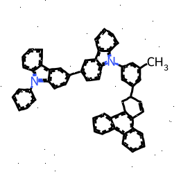 Cc1cc(C2C=Cc3c(c4ccccc4c4ccccc34)C2)cc(-n2c3ccccc3c3cc(-c4ccc5c(c4)c4ccccc4n5-c4ccccc4)ccc32)c1